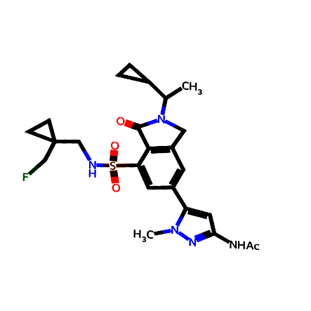 CC(=O)Nc1cc(-c2cc3c(c(S(=O)(=O)NCC4(CF)CC4)c2)C(=O)N(C(C)C2CC2)C3)n(C)n1